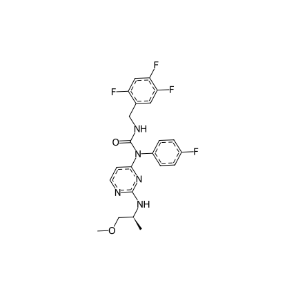 COC[C@H](C)Nc1nccc(N(C(=O)NCc2cc(F)c(F)cc2F)c2ccc(F)cc2)n1